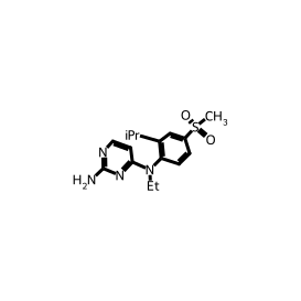 CCN(c1ccnc(N)n1)c1ccc(S(C)(=O)=O)cc1C(C)C